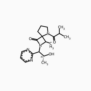 CC(C)C(=O)N1CCCC12C(=O)N(C(c1ncccn1)[C@@H](C)O)C2C